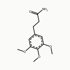 COc1cc(CCC(N)=O)cc(OC)c1OC